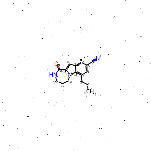 CCCc1cc(C#N)cc2cc3n(c12)CCCNC3=O